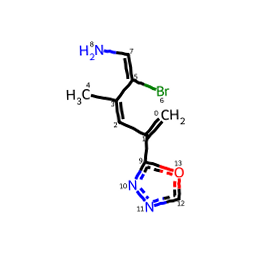 C=C(/C=C(C)\C(Br)=C/N)c1nnco1